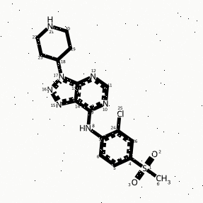 CS(=O)(=O)c1ccc(Nc2ncnc3c2nnn3C2CCNCC2)c(Cl)c1